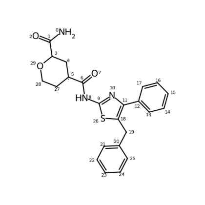 NC(=O)C1C[C](C(=O)Nc2nc(-c3ccccc3)c(Cc3ccccc3)s2)CCO1